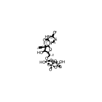 C#CC1(F)C(O)[C@@H]([C@H](C)OP(=O)(O)OP(=O)(O)OP(=O)(O)O)O[C@H]1n1cnc(=O)[nH]c1=O